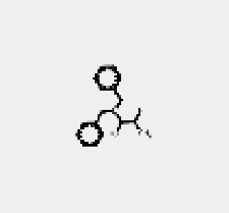 CC(F)C(O)N(Cc1ccccc1)Cc1ccccc1